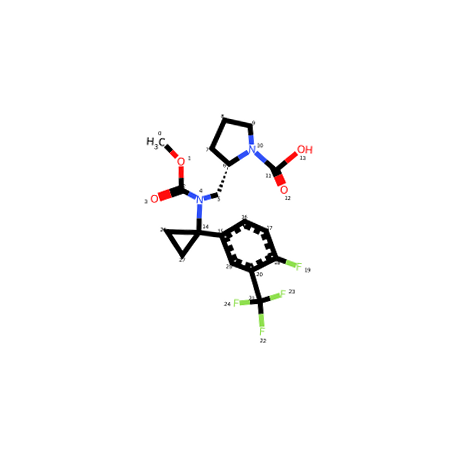 COC(=O)N(C[C@@H]1CCCN1C(=O)O)C1(c2ccc(F)c(C(F)(F)F)c2)CC1